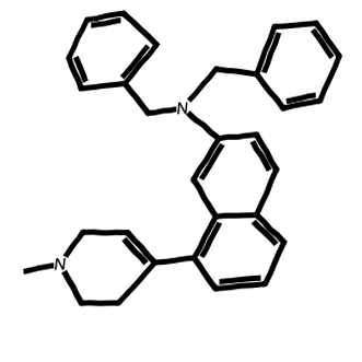 CN1CC=C(c2cccc3ccc(N(Cc4ccccc4)Cc4ccccc4)cc23)CC1